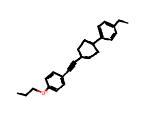 CCCOc1ccc(C#CC2CCC(c3ccc(CC)cc3)CC2)cc1